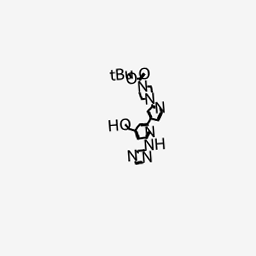 CC(C)(C)OC(=O)N1CCN(c2cc(-c3cc(CO)cc(Nc4cnccn4)n3)ccn2)CC1